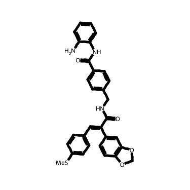 CSc1ccc(/C=C(/C(=O)NCc2ccc(C(=O)Nc3ccccc3N)cc2)c2ccc3c(c2)OCO3)cc1